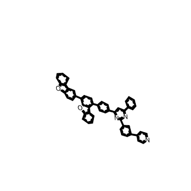 c1ccc(-c2cc(-c3ccc(-c4ccc(-c5ccc6oc7ccccc7c6c5)c5oc6ccccc6c45)cc3)nc(-c3cccc(-c4ccncc4)c3)n2)cc1